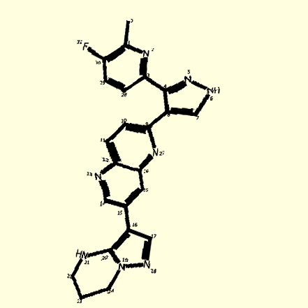 Cc1nc(-c2n[nH]cc2-c2ccc3ncc(-c4cnn5c4NCCC5)cc3n2)ccc1F